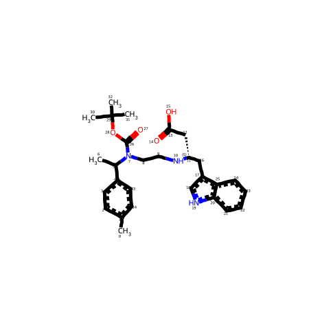 Cc1ccc(C(C)N(CCN[C@H](CC(=O)O)Cc2c[nH]c3ccccc23)C(=O)OC(C)(C)C)cc1